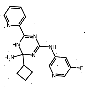 NC1(C2CCC2)N=C(Nc2cncc(F)c2)N=C(c2ccccn2)N1